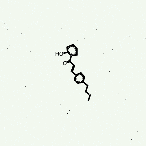 CCCCc1ccc(C=CC(=O)c2ccccc2O)cc1